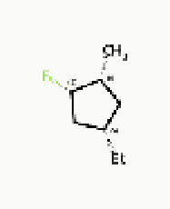 CC[C@H]1C[C@@H](C)[C@@H](F)C1